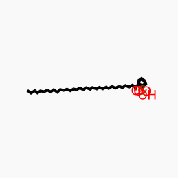 CCCCCCCCCCCCCCCCCCCCCCCCCCCCCCCCCC(=O)c1ccccc1S(=O)(=O)O